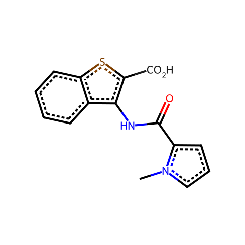 Cn1cccc1C(=O)Nc1c(C(=O)O)sc2ccccc12